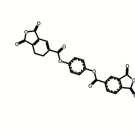 O=C(Oc1ccc(OC(=O)c2ccc3c(c2)C(=O)OC3=O)cc1)C1=CC2=C(CC1)C(=O)OC2=O